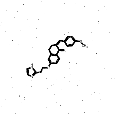 CSc1ccc(C=C2CCc3cc(OCCc4ncc[nH]4)ccc3C2=O)cc1